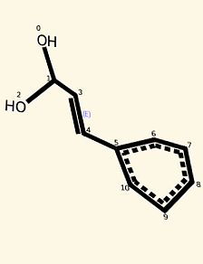 OC(O)/C=C/c1ccccc1